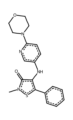 Cn1sc(-c2ccccc2)c(Nc2ccc(N3CCOCC3)nc2)c1=O